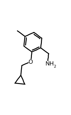 Cc1ccc(CN)c(OCC2CC2)c1